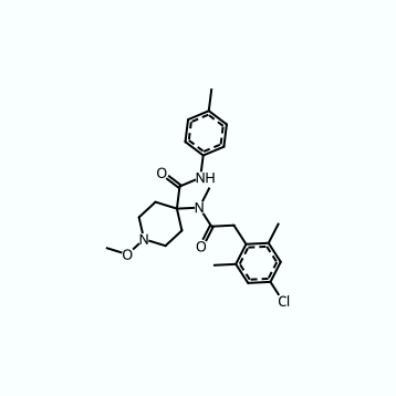 CON1CCC(C(=O)Nc2ccc(C)cc2)(N(C)C(=O)Cc2c(C)cc(Cl)cc2C)CC1